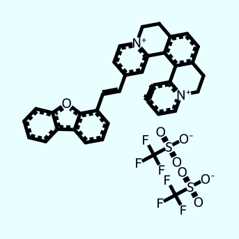 C(=Cc1cccc2c1oc1ccccc12)c1cc[n+]2c(c1)-c1c(ccc3c1-c1c4ccccc4cc[n+]1CC3)CC2.O=S(=O)([O-])C(F)(F)F.O=S(=O)([O-])C(F)(F)F